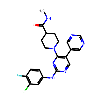 CNC(=O)C1CCN(c2nc(Nc3ccc(F)c(Cl)c3)ncc2-c2cncnc2)CC1